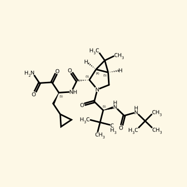 CC(C)(C)NC(=O)N[C@H](C(=O)N1C[C@H]2[C@@H]([C@H]1C(=O)N[C@@H](CC1CC1)C(=O)C(N)=O)C2(C)C)C(C)(C)C